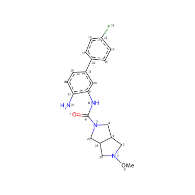 CON1CC2CN(C(=O)Nc3cc(-c4ccc(F)cc4)ccc3N)CC2C1